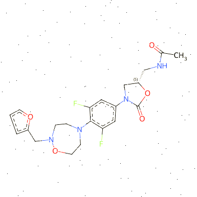 CC(=O)NC[C@H]1CN(c2cc(F)c(N3CCON(Cc4ccco4)CC3)c(F)c2)C(=O)O1